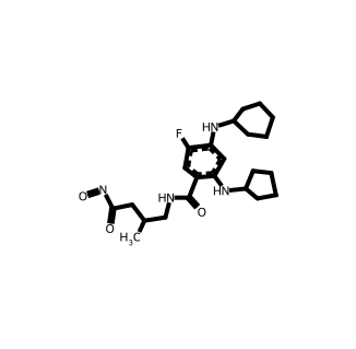 CC(CNC(=O)c1cc(F)c(NC2CCCCC2)cc1NC1CCCC1)CC(=O)N=O